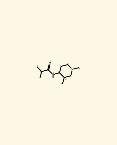 CC(C)C(=O)NC1CCN(C)CC1C